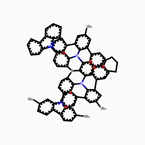 CC(C)(C)c1cc(-c2ccccc2)c(N2c3cc(-n4c5ccccc5c5ccccc54)ccc3B3c4ccc(-n5c6cc(C(C)(C)C)ccc6c6ccc(C(C)(C)C)cc65)cc4N(c4c(-c5ccccc5)cc(C(C)(C)C)cc4-c4ccccc4)c4cc(C5CCCCC5)cc2c43)c(-c2ccccc2)c1